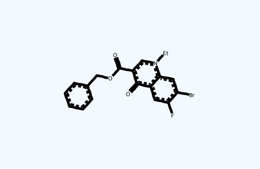 CCn1cc(C(=O)OCc2ccccc2)c(=O)c2cc(F)c(Br)cc21